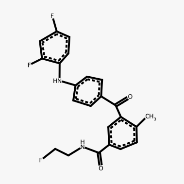 Cc1ccc(C(=O)NCCF)cc1C(=O)c1ccc(Nc2ccc(F)cc2F)cc1